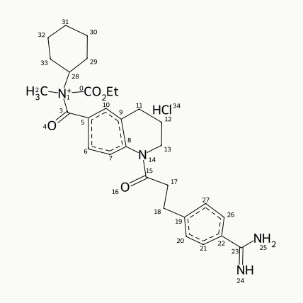 CCOC(=O)[N+](C)(C(=O)c1ccc2c(c1)CCCN2C(=O)CCc1ccc(C(=N)N)cc1)C1CCCCC1.Cl